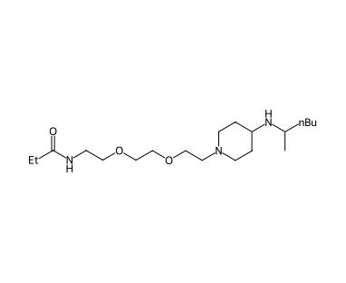 CCCCC(C)NC1CCN(CCOCCOCCNC(=O)CC)CC1